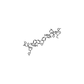 CCC(C)C(NC(=O)OC)C(=O)N1C[C@@H](C)CC1c1ncc(-c2ccc3c(c2)COc2cc4c(ccc5nc([C@@H]6CC(COC)CN6C(=O)C[C@@H](C)OC)[nH]c54)cc2-3)[nH]1